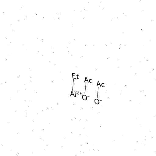 CC(=O)[O-].CC(=O)[O-].C[CH2][Al+2]